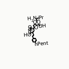 CCCCCc1ccc(/C=C/c2cn(C3CC(OC(=O)C(N)C(C)C)C(CO)O3)c(=O)nc2O)cc1